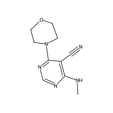 CNc1ncnc(N2CCOCC2)c1C#N